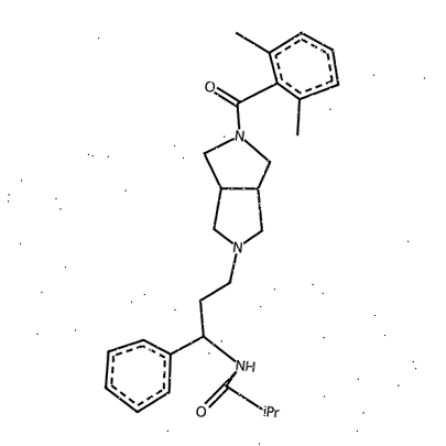 Cc1cccc(C)c1C(=O)N1CC2CN(CCC(NC(=O)C(C)C)c3ccccc3)CC2C1